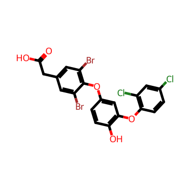 O=C(O)Cc1cc(Br)c(Oc2ccc(O)c(Oc3ccc(Cl)cc3Cl)c2)c(Br)c1